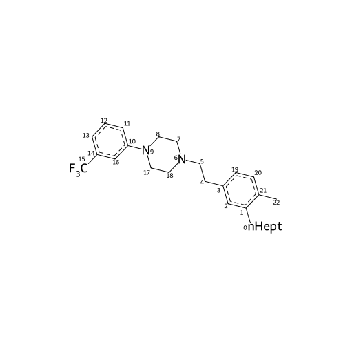 CCCCCCCc1cc(CCN2CCN(c3cccc(C(F)(F)F)c3)CC2)ccc1C